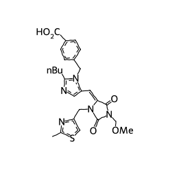 CCCCc1ncc(C=C2C(=O)N(COC)C(=O)N2Cc2csc(C)n2)n1Cc1ccc(C(=O)O)cc1